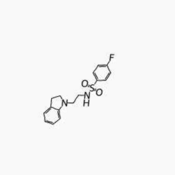 O=S(=O)(NCCN1CCc2ccccc21)c1ccc(F)cc1